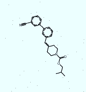 CC(C)COC(=O)N1CCC(=Cc2cccc(-c3cccc(C#N)c3)c2)CC1